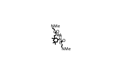 CNCCOC(=O)NCC1(C)CC(NC(=O)OCCNC)CC(C)(C)C1